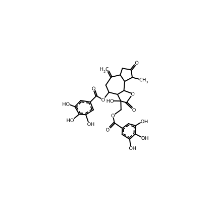 C=C1CC(OC(=O)c2cc(O)c(O)c(O)c2)C2C(OC(=O)C2(O)COC(=O)c2cc(O)c(O)c(O)c2)C2C(C)C(=O)CC12